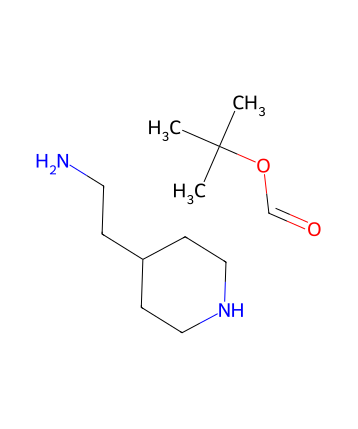 CC(C)(C)OC=O.NCCC1CCNCC1